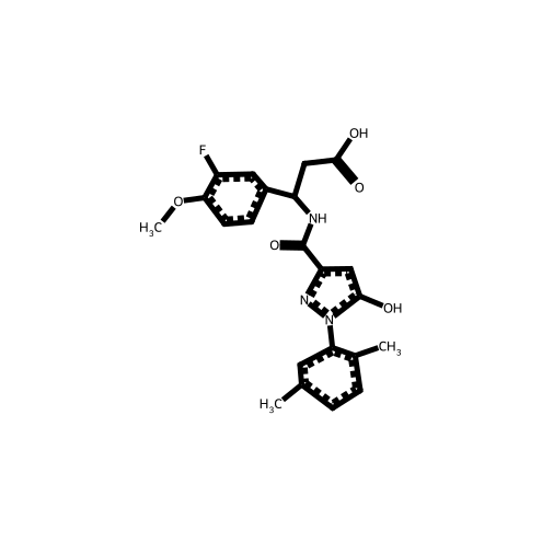 COc1ccc(C(CC(=O)O)NC(=O)c2cc(O)n(-c3cc(C)ccc3C)n2)cc1F